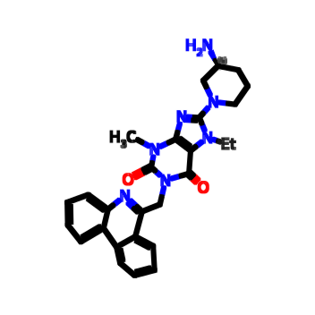 CCn1c(N2CCC[C@H](N)C2)nc2c1c(=O)n(Cc1nc3ccccc3c3ccccc13)c(=O)n2C